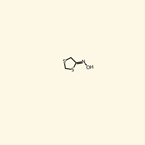 O/N=C1/CSCS1